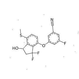 CSc1ccc(Oc2cc(F)cc(C#N)c2)c2c1C(O)CC2(F)F